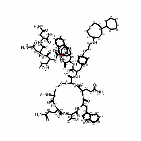 CC(=O)NC1CCSCC(C(=O)NC(Cc2ccc(OCCNC3CCCCCC(C4CCCCCC4)CC3)cc2)C(=O)NC(Cc2ccc3ccccc3c2)C(=O)NC2(C(=O)NC(CCC(=O)O)C(=O)NC(CC(N)=O)C(=O)NC(CC(N)=O)C(N)=O)CCOCC2)NC(=O)C(CCC(N)=O)NC(=O)C(Cc2c[nH]c3ccccc23)NC(=O)C(C(C)O)NC(=O)C(CCC(N)=O)NC1=O